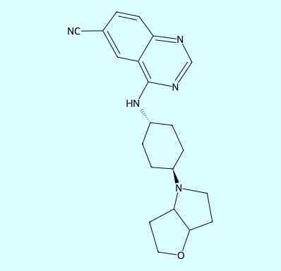 N#Cc1ccc2ncnc(N[C@H]3CC[C@H](N4CCC5OCCC54)CC3)c2c1